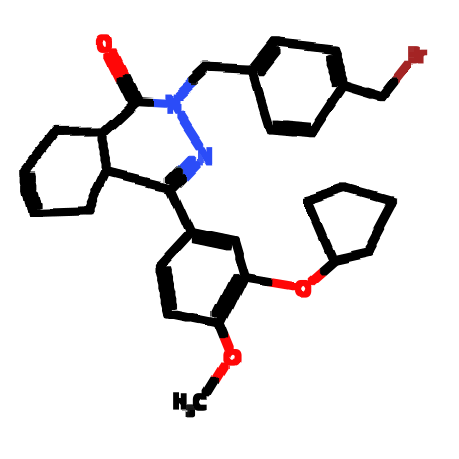 COc1ccc(C2=NN(Cc3ccc(CBr)cc3)C(=O)C3CC=CCC23)cc1OC1CCCC1